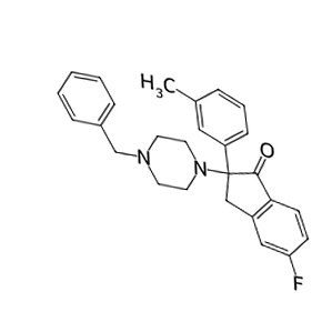 Cc1cccc(C2(N3CCN(Cc4ccccc4)CC3)Cc3cc(F)ccc3C2=O)c1